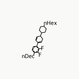 CCCCCCCCCCc1ccc(C2=CCC(C3CCC(CCCCCC)CC3)C=C2)c(F)c1F